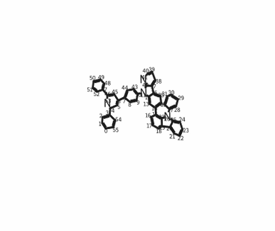 c1ccc(-c2cc(-c3ccc(-n4c5cc(-c6cccc7c8ccccc8n(-c8ccccc8)c67)ccc5c5cccnc54)cc3)cc(-c3ccccc3)n2)cc1